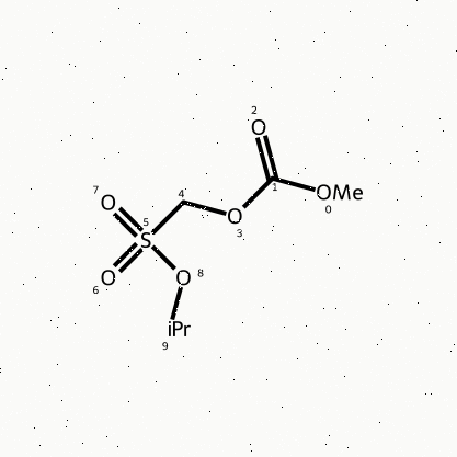 COC(=O)OCS(=O)(=O)OC(C)C